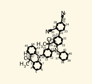 CC1(C)c2ccccc2N(c2ccc3c(c2)C(C)(C)c2cc(-c4ccc(C#N)cc4C#N)ccc2N3c2ccccc2)c2ccccc21